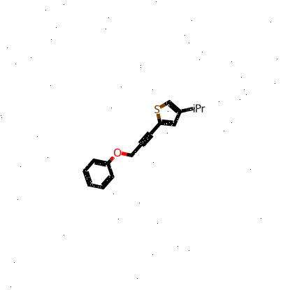 CC(C)c1csc(C#CCOc2ccccc2)c1